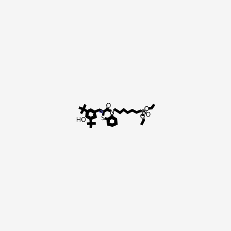 CCOP(=O)(CCCCCCCN1C(=O)/C(=C/c2cc(C(C)(C)C)c(O)c(C(C)(C)C)c2)Sc2ccccc21)OCC